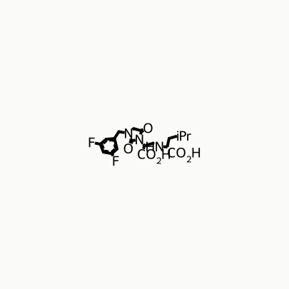 CC(C)CC(NCC(C(=O)O)N1C(=O)CN(Cc2cc(F)cc(F)c2)C1=O)C(=O)O